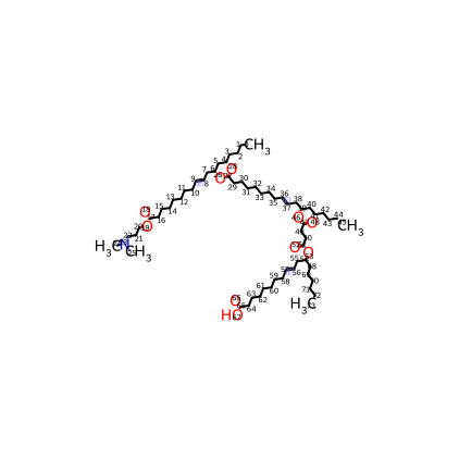 CCCCCCC(C/C=C/CCCCCCCC(=O)OCCCN(C)C)OC(=O)CCCCCCC/C=C/CC(CCCCCC)OC(=O)CCC(=O)OC(C/C=C/CCCCCCCC(=O)O)CCCCCC